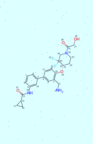 NCc1cc(-c2cccc(NC(=O)C3CC3)c2)ccc1O[C@H]1CCN(C(=O)CO)CC1(F)F